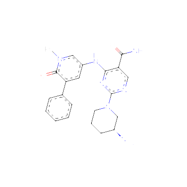 CC(C)n1cc(Nc2nc(N3CCC[C@H](N)C3)ncc2C(N)=O)cc(-c2ccccc2)c1=O